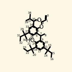 C=CC(=O)Oc1c(C(C)c2cc(C(C)(C)CC)cc(C(C)(C)CC)c2O)cc(C(C)(C)CC)cc1C(C)C(C)C